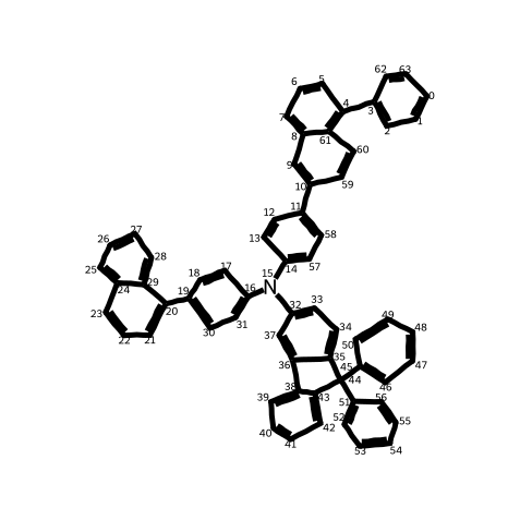 c1ccc(-c2cccc3cc(-c4ccc(N(c5ccc(-c6cccc7ccccc67)cc5)c5ccc6c(c5)-c5ccccc5C6(c5ccccc5)c5ccccc5)cc4)ccc23)cc1